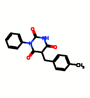 Cc1ccc(CC2C(=O)NC(=O)N(c3ccccc3)C2=O)cc1